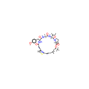 CC[C@H](C)[C@H]1C(=O)N2CCC[C@H]2C(=O)O[C@H](C(C)(C)C)C[C@@H](C)C/C=C/C2=N[C@@H](/C=C/C(=O)N[C@@H](Cc3ccc(OC)cc3)C(=O)N(C)[C@@H](C)C(=O)N1C)CS2